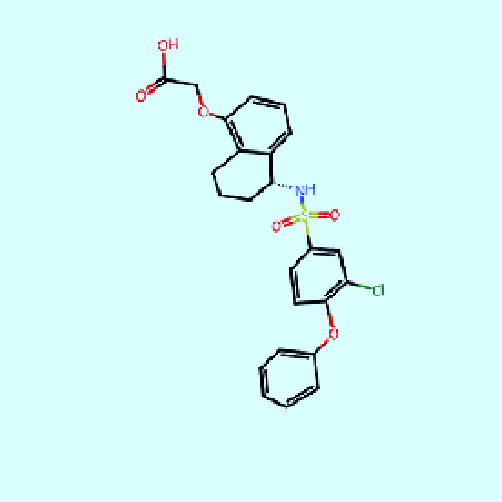 O=C(O)COc1cccc2c1CCC[C@H]2NS(=O)(=O)c1ccc(Oc2ccccc2)c(Cl)c1